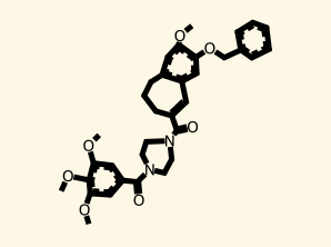 COc1cc2c(cc1OCc1ccccc1)C=C(C(=O)N1CCN(C(=O)c3cc(OC)c(OC)c(OC)c3)CC1)CCC2